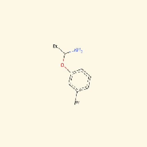 CCC(N)Oc1cccc(C(C)C)c1